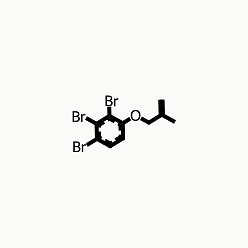 C=C(C)COc1ccc(Br)c(Br)c1Br